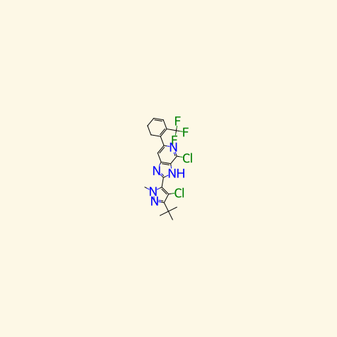 Cn1nc(C(C)(C)C)c(Cl)c1-c1nc2cc(C3=C(C(F)(F)F)C=CCC3)nc(Cl)c2[nH]1